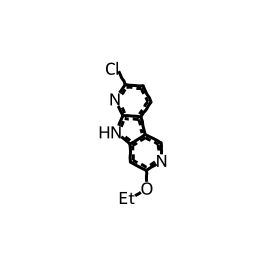 CCOc1cc2[nH]c3nc(Cl)ccc3c2cn1